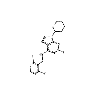 Fc1nc(NCc2c(F)cccc2F)c2ncn(C3CCCCO3)c2n1